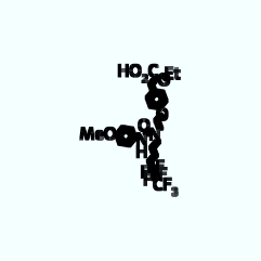 CCOC(Cc1ccc(OCCN(CCCCC(F)(F)C(F)(F)C(F)(F)F)C(=O)Nc2ccc(OC)cc2)cc1)C(=O)O